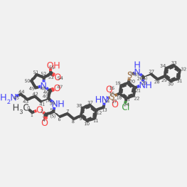 CCOC(=O)[C@H](CCCc1ccc(CNS(=O)(=O)c2cc3c(cc2Cl)N[C@H](CCc2ccccc2)NS3)cc1)N[C@@H](CCCCN)C(=O)N1CCCC1C(=O)O